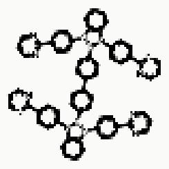 c1cnc(-c2ccc(N3B(c4ccc(-c5ccc(B6N(c7ccc(-c8ncccn8)cc7)c7ccccc7N6c6ccc(-c7ncccn7)cc6)cc5)cc4)N(c4ccc(-c5ncccn5)cc4)c4ccccc43)cc2)nc1